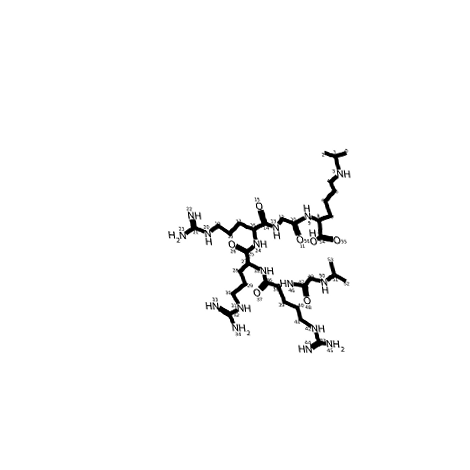 CC(C)NCCCCC(NC(=O)CNC(=O)C(CCCNC(=N)N)NC(=O)C(CCCNC(=N)N)NC(=O)C(CCCNC(=N)N)NC(=O)CNC(C)C)C(=O)O